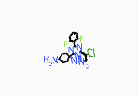 NC1CCC(N)(c2nc(-c3c(F)cccc3F)nc3c(Cl)cnn23)CC1